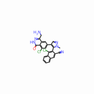 Cn1ncc(-c2cc(Cl)c3c(=O)[nH]nc(CN)c3c2)c1-c1c(C#N)cc2ccccc2c1Cl